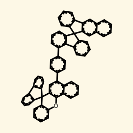 c1ccc2c(c1)Oc1c(cc(-c3ccc(-c4cccc5c4-c4ccccc4C54c5ccccc5-c5cc6ccccc6cc54)cc3)c3ccccc13)C21c2ccccc2-c2ccccc21